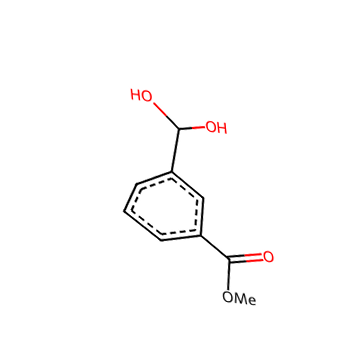 COC(=O)c1cccc(C(O)O)c1